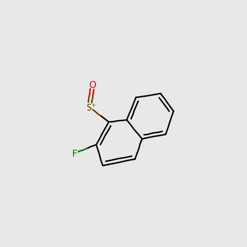 O=[S+]c1c(F)ccc2ccccc12